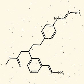 COC(=O)CC(CCc1ccc(NC=NN)cc1)c1cccc(C=NN)c1